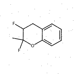 CC1(F)Oc2ccccc2CC1F